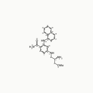 COC[C@H](N)CNc1ncc(C(N)=O)c(Nc2cccc3ccccc23)n1